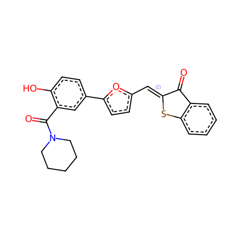 O=C1/C(=C/c2ccc(-c3ccc(O)c(C(=O)N4CCCCC4)c3)o2)Sc2ccccc21